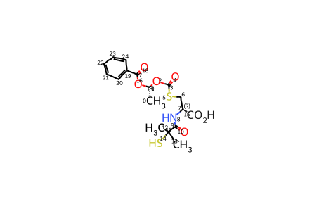 C[C@@H](OC(=O)SC[C@H](NC(=O)C(C)(C)S)C(=O)O)OC(=O)c1ccccc1